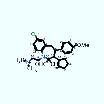 COc1ccc(C2Cc3cc(Cl)ccc3N(CCN(C)C)C(C)(C=O)C2C2CCCC2)cc1